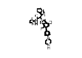 O=C(Nc1nccs1)C(c1ncn2c1CCC2)n1cc2c(Cl)cc(-c3ccc(N4CCNCC4)cc3)c(F)c2n1